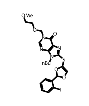 CCCCn1c(SC2=COC(c3ccccc3I)O2)nc2c(=O)n(COCCOC)cnc21